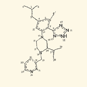 CC(C)Cc1cc(F)c(-c2nn[nH]n2)c(N2CCN(Cc3cccnn3)C(C(C)C)C2)c1